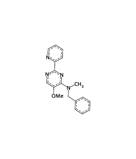 COc1cnc(-c2ccccn2)nc1N(C)Cc1ccccc1